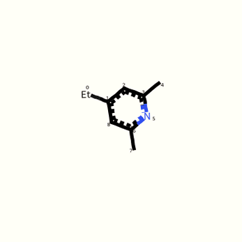 CCc1cc(C)nc(C)c1